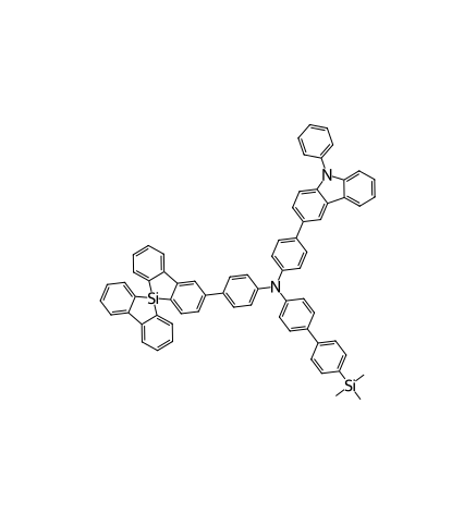 C[Si](C)(C)c1ccc(-c2ccc(N(c3ccc(-c4ccc5c(c4)-c4ccccc4[Si]54c5ccccc5-c5ccccc54)cc3)c3ccc(-c4ccc5c(c4)c4ccccc4n5-c4ccccc4)cc3)cc2)cc1